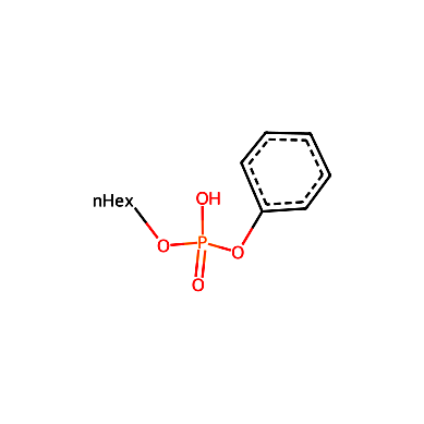 CCCCCCOP(=O)(O)Oc1ccccc1